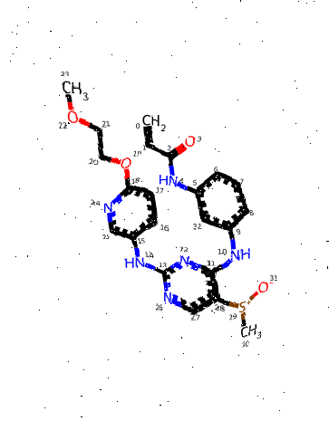 C=CC(=O)Nc1cccc(Nc2nc(Nc3ccc(OCCOC)nc3)ncc2[S+](C)[O-])c1